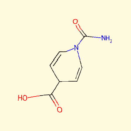 NC(=O)N1C=CC(C(=O)O)C=C1